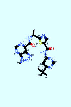 CC(NC(=O)c1ncnc2c1nnn2C)c1ncc(C(=O)Nc2cc(C(C)(C)C)ncn2)s1